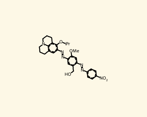 COc1cc(N=Nc2ccc([N+](=O)[O-])cc2)c(CO)cc1N=Nc1cc2c3c(c1OC(C)C)CCCN3CCC2